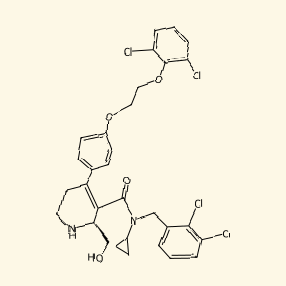 O=C(C1=C(c2ccc(OCCOc3c(Cl)cccc3Cl)cc2)CCN[C@@H]1CO)N(Cc1cccc(Cl)c1Cl)C1CC1